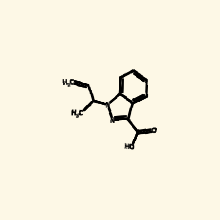 C=CC(C)n1nc(C(=O)O)c2ccccc21